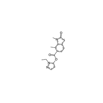 CCn1nccc1OC(=O)c1ccc2sc(=O)n(C)c2c1C